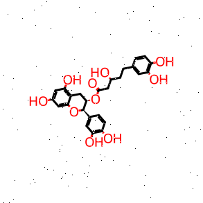 O=C(C[C@@H](O)CCc1ccc(O)c(O)c1)O[C@H]1Cc2c(O)cc(O)cc2O[C@@H]1c1ccc(O)c(O)c1